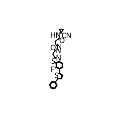 N#CC1(NC(=O)Cc2nnc(Cc3nc4ccc(-c5ccc(-c6ccccc6)s5)c(F)c4s3)o2)CC1